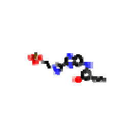 COc1cc(O)cc(Nc2ccc3ncc(-c4cnn(CCCOS(C)(=O)=O)c4)nc3c2)c1